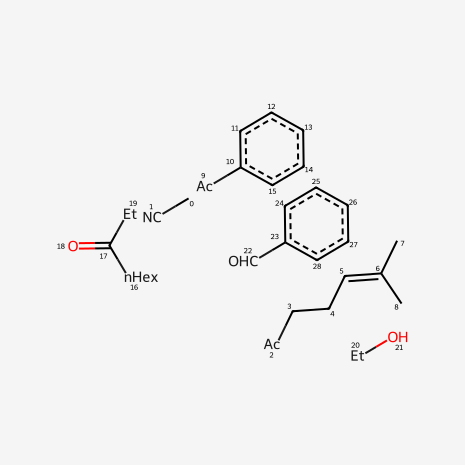 CC#N.CC(=O)CCC=C(C)C.CC(=O)c1ccccc1.CCCCCCC(=O)CC.CCO.O=Cc1ccccc1